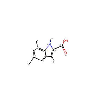 Cc1cc(C)c2c(c1)c(C)c(C(=O)O)n2C